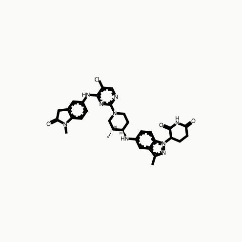 Cc1nn(C2CCC(=O)NC2=O)c2ccc(N[C@@H]3CCN(c4ncc(Cl)c(Nc5ccc6c(c5)CC(=O)N6C)n4)C[C@H]3C)cc12